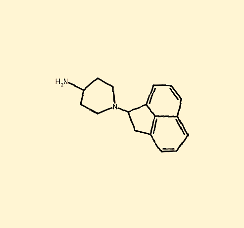 NC1CCN(C2Cc3cccc4cccc2c34)CC1